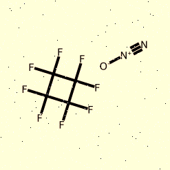 FC1(F)C(F)(F)C(F)(F)C1(F)F.N#[N+][O-]